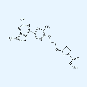 Cn1ccc2c(-c3cnc(OCCO[C@H]4CCN(C(=O)OC(C)(C)C)C4)c(C(F)(F)F)c3)nc(C#N)nc21